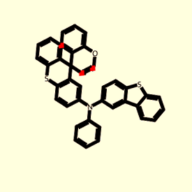 c1ccc(N(c2ccc3c(c2)C2(c4ccccc4Oc4ccccc42)c2ccccc2S3)c2ccc3sc4ccccc4c3c2)cc1